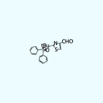 CC(C)(C)[Si](OCc1nc(C=O)cs1)(c1ccccc1)c1ccccc1